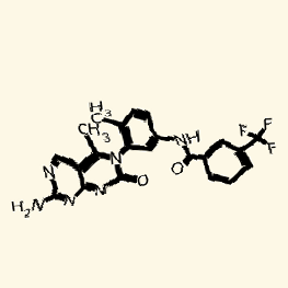 Cc1ccc(NC(=O)c2cccc(C(F)(F)F)c2)cc1-n1c(C)c2cnc(N)nc2nc1=O